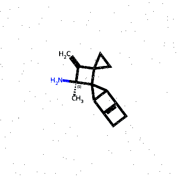 C=C1C2(CC2)C2(C3C4=C(CC4)C32)[C@@]1(C)N